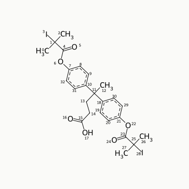 CC(C)(I)C(=O)Oc1ccc(C(C)(CCC(=O)O)c2ccc(OC(=O)C(C)(C)I)cc2)cc1